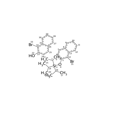 CC(C)[Si](Oc1ccc2ccccc2c1Br)(C(C)C)C(C)C.Oc1ccc2ccccc2c1Br